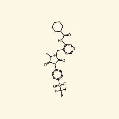 CC1C(=O)N(c2ccc(S(=O)(=O)C(F)(F)F)cc2)C(=O)N1Cc1ccncc1NC(=O)C1CCCCC1